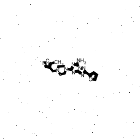 Cc1oncc1CN1CCN(c2nc(N)n3nc(-c4ccco4)nc3n2)CC1